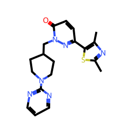 Cc1nc(C)c(-c2ccc(=O)n(CC3CCN(c4ncccn4)CC3)n2)s1